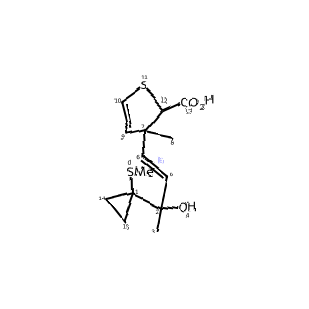 CSC1(C(C)(O)/C=C/C2(C)C=CSC2C(=O)O)CC1